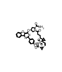 NC(=O)[C@@H]1C[C@@H](Oc2nc(-c3ccc(C(F)(F)F)cc3)nc3c2oc2ccccc23)CN1C(=O)CCCCC/C=C\[C@@H]1C[C@@H]1C(=O)NS(=O)(=O)C1CC1